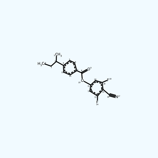 CCC(C)c1ccc(C(=O)Oc2cc(F)c(C#N)c(F)c2)cc1